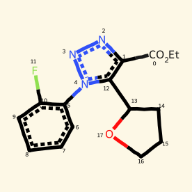 CCOC(=O)c1nnn(-c2ccccc2F)c1C1CCCO1